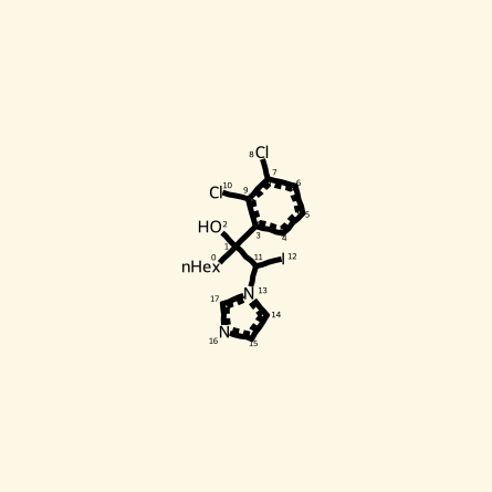 CCCCCCC(O)(c1cccc(Cl)c1Cl)C(I)n1ccnc1